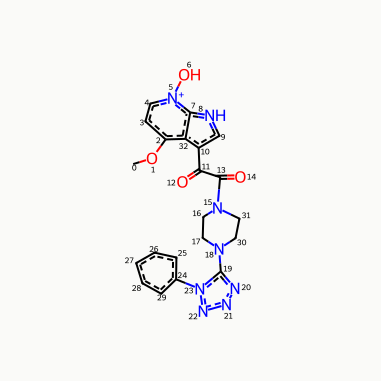 COc1cc[n+](O)c2[nH]cc(C(=O)C(=O)N3CCN(c4nnnn4-c4ccccc4)CC3)c12